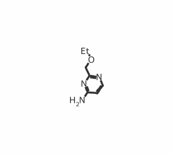 CCOCc1nccc(N)n1